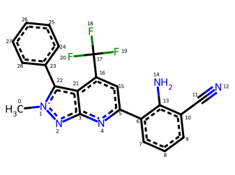 Cn1nc2nc(-c3cccc(C#N)c3N)cc(C(F)(F)F)c2c1-c1ccccc1